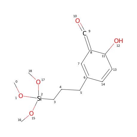 CO[Si](CCCC1=CC(=C=O)C(O)C=C1)(OC)OC